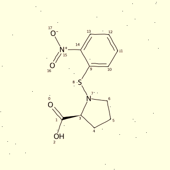 O=C(O)[C@@H]1CCCN1Sc1ccccc1[N+](=O)[O-]